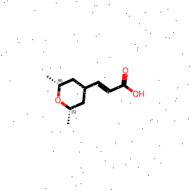 C[C@@H]1CC(C=CC(=O)O)C[C@H](C)O1